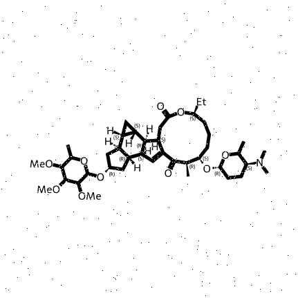 CC[C@H]1CCC[C@H](O[C@H]2CC[C@H](N(C)C)C(C)O2)[C@@H](C)C(=O)C2=C[C@H]3[C@@H]4C[C@H](OC5OC(C)C(OC)C(OC)C5OC)C[C@H]4[C@@H]4C[C@@H]4[C@H]3[C@@H]2CC(=O)O1